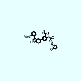 COc1ccccc1-c1c[nH]c2ncc(-c3ccc(NC(=O)OCCN4CCCC4=O)c(C(=O)N(C)C)c3)cc12